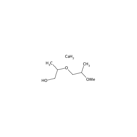 COC(C)COC(C)CO.[CaH2]